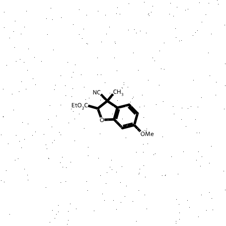 CCOC(=O)C1Oc2cc(OC)ccc2C1(C)C#N